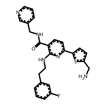 NCc1ccc(-c2ccc(C(=O)NCc3cccnc3)c(NCCc3cccc(F)c3)n2)s1